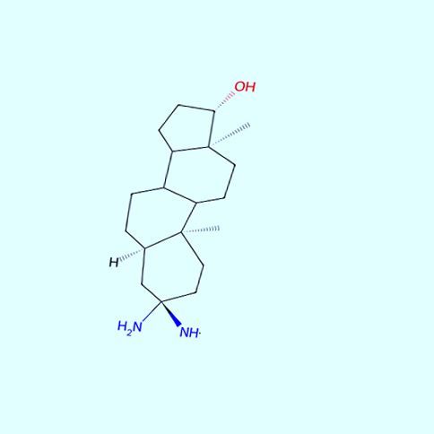 C[C@]12CCC3C(CC[C@@H]4C[C@@]([NH])(N)CC[C@]34C)C1CC[C@@H]2O